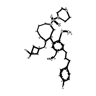 COc1cc(CCCc2ccc(F)cc2)c(C=N)cc1C1CN(S(=O)(=O)N2CCOCC2)CCCCC1CC1CC(F)(F)C1